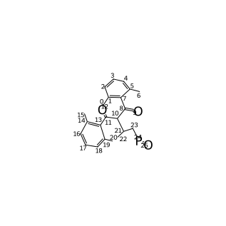 Cc1cccc(C)c1C(=O)C(C(=O)c1c(C)cccc1C)C(C)CP=O